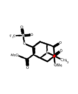 COC(=O)C1=C(OS(=O)(=O)C(F)(F)F)CC2C(=O)N(C)CC1N2C(=O)OC